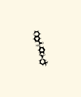 O=C(Nc1ccc2oc(N3CCCC(F)(F)C3)nc2c1)c1ccc2c(c1)CCCO2